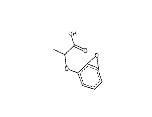 CC(Oc1cccc2c1O2)C(=O)O